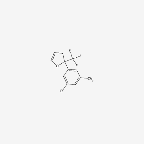 Cc1cc(Cl)cc(C2(C(F)(F)F)CC=CO2)c1